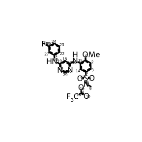 COc1ccc(S(=O)(=O)N(C)OC(=O)C(F)(F)F)cc1Nc1cc(Nc2cccc(F)c2)ncn1